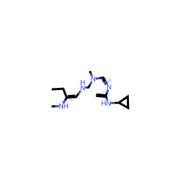 C=C(/N=C\N(C)CN/C=C(\CC)NC)NC1CC1